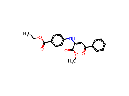 CCOC(=O)c1ccc(NC(=CC(=O)c2ccccc2)C(=O)OC)cc1